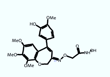 COc1ccc(C2=C/C(=N\OCC(=O)NO)COc3c2cc(OC)c(OC)c3OC)cc1O